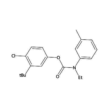 CCN(C(=O)Oc1ccc(Cl)c(C(C)(C)C)c1)c1cccc(C)c1